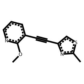 COc1ncccc1C#Cc1csc(C)n1